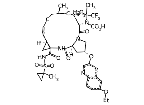 CCOc1ccc2ncc(O[C@@H]3C[C@H]4C(=O)N[C@]5(C(=O)NS(=O)(=O)C6(C)CC6)C[C@H]5/C=C\CC[C@@H](C)C[C@@H](C)[C@H](N(C(=O)O)C(C)(C)C(F)(F)F)C(=O)N4C3)cc2c1